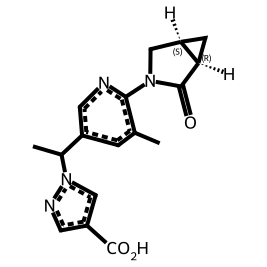 Cc1cc(C(C)n2cc(C(=O)O)cn2)cnc1N1C[C@H]2C[C@H]2C1=O